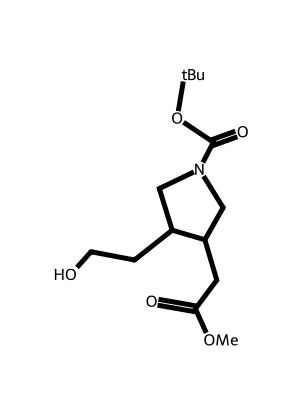 COC(=O)CC1CN(C(=O)OC(C)(C)C)CC1CCO